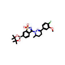 COc1cc(C2=NN(C3=NS(=O)(=O)c4cc(B5OC(C)(C)C(C)(C)O5)ccc43)C(C)CC2)ccc1F